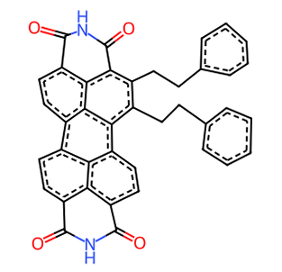 O=C1NC(=O)c2ccc3c4c(CCc5ccccc5)c(CCc5ccccc5)c5c6c(ccc(c7ccc1c2c73)c64)C(=O)NC5=O